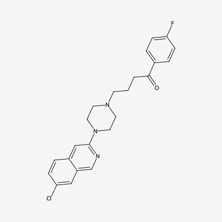 O=C(CCCN1CCN(c2cc3ccc(Cl)cc3cn2)CC1)c1ccc(F)cc1